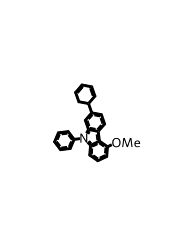 COc1cccc2c1c1ccc(C3C=CC=CC3)cc1n2-c1ccccc1